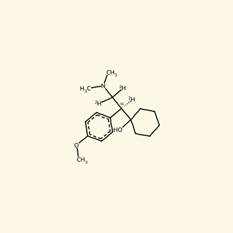 [2H]C([2H])(N(C)C)[C@]([2H])(c1ccc(OC)cc1)C1(O)CCCCC1